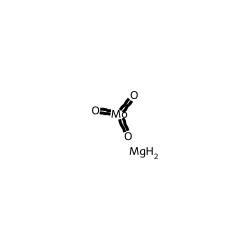 [MgH2].[O]=[Mo](=[O])=[O]